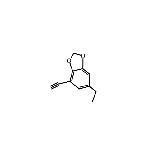 C#Cc1cc(CC)cc2c1OCO2